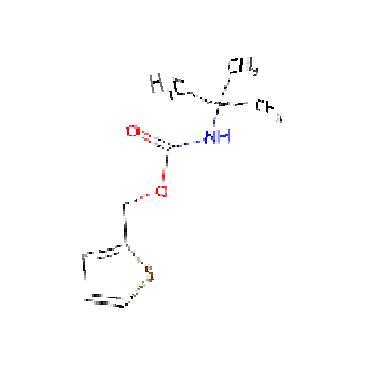 CC(C)(C)NC(=O)OCc1cccs1